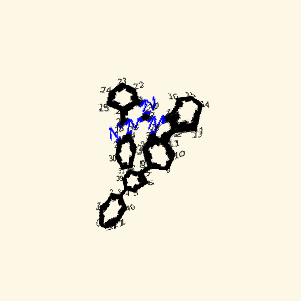 c1ccc(-c2ccc(-c3ccc4c5ccccc5n(-c5nc6ccccc6c6nc7ccccc7n56)c4c3)cc2)cc1